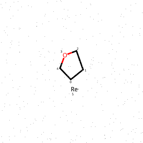 C1CCOC1.[Re]